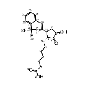 O=C(O)CCCCCC[C@H]1C(=O)[C@H](O)C[C@@H]1C=Cc1ccccc1C(F)(F)F